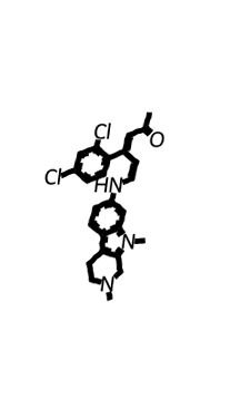 CC(=O)/C=C(\C=C/Nc1ccc2c3c(n(C)c2c1)CN(C)CC3)c1ccc(Cl)cc1Cl